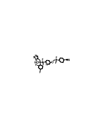 N#Cc1ccc(C(F)(F)COc2ccc(C(F)(F)C(O)(Cn3cnnn3)c3ccc(F)cc3F)nc2)cc1